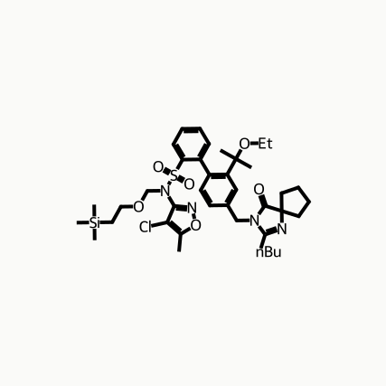 CCCCC1=NC2(CCCC2)C(=O)N1Cc1ccc(-c2ccccc2S(=O)(=O)N(COCC[Si](C)(C)C)c2noc(C)c2Cl)c(C(C)(C)OCC)c1